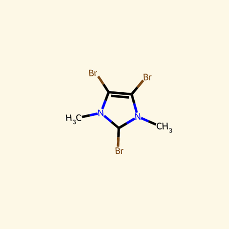 CN1C(Br)=C(Br)N(C)C1Br